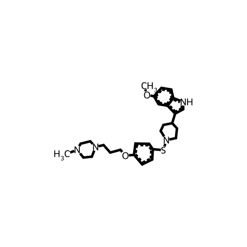 COc1ccc2[nH]cc(C3CCN(Sc4ccc(OCCCN5CCN(C)CC5)cc4)CC3)c2c1